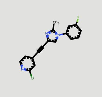 Cc1nc(C#Cc2ccnc(Cl)c2)cn1-c1cccc(F)c1